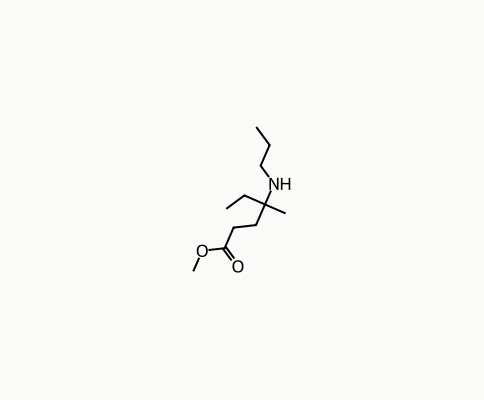 CCCNC(C)(CC)CCC(=O)OC